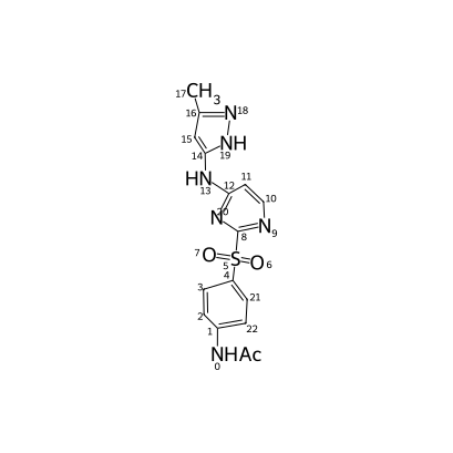 CC(=O)Nc1ccc(S(=O)(=O)c2nccc(Nc3cc(C)n[nH]3)n2)cc1